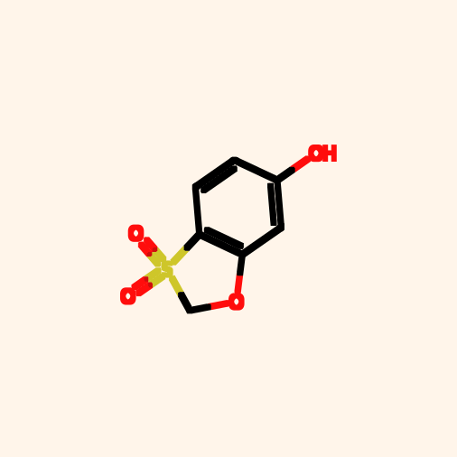 O=S1(=O)COc2cc(O)ccc21